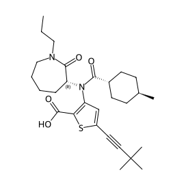 CCCN1CCCC[C@@H](N(c2cc(C#CC(C)(C)C)sc2C(=O)O)C(=O)[C@H]2CC[C@H](C)CC2)C1=O